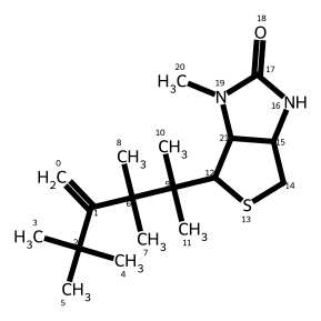 C=C(C(C)(C)C)C(C)(C)C(C)(C)C1SCC2NC(=O)N(C)C21